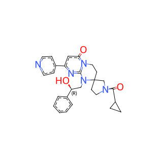 O=C(C1CC1)N1CCC2(CCn3c(nc(-c4ccncc4)cc3=O)N2C[C@H](O)c2ccccc2)C1